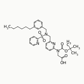 CCCCCCc1cccc(CN(Cc2cccc(N(CC(=O)O)C(=O)OC(C)(C)C)n2)S(=O)(=O)c2ccccn2)c1